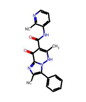 Cc1[nH]n2c(-c3ccccc3)c(C#N)nc2c(=O)c1C(=O)Nc1cccnc1C#N